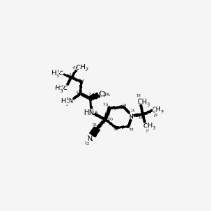 CC(C)(C)CC(N)C(=O)NC1(C#N)CCN(C(C)(C)C)CC1